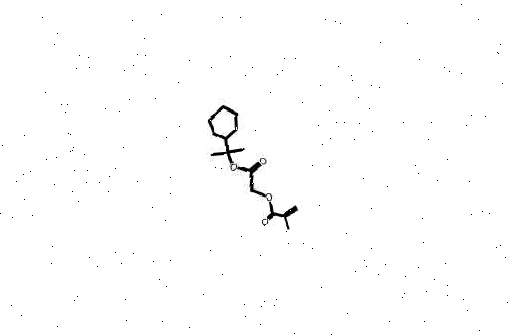 C=C(C)C(=O)OCC(=O)OC(C)(C)C1CCCCC1